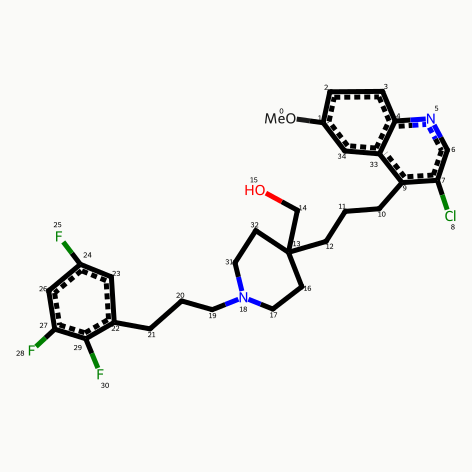 COc1ccc2ncc(Cl)c(CCCC3(CO)CCN(CCCc4cc(F)cc(F)c4F)CC3)c2c1